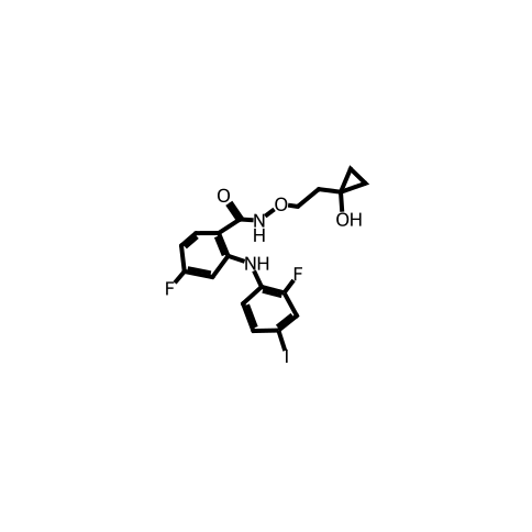 O=C(NOCCC1(O)CC1)c1ccc(F)cc1Nc1ccc(I)cc1F